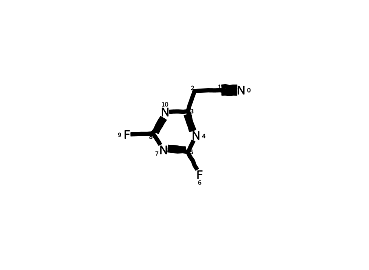 N#CCc1nc(F)nc(F)n1